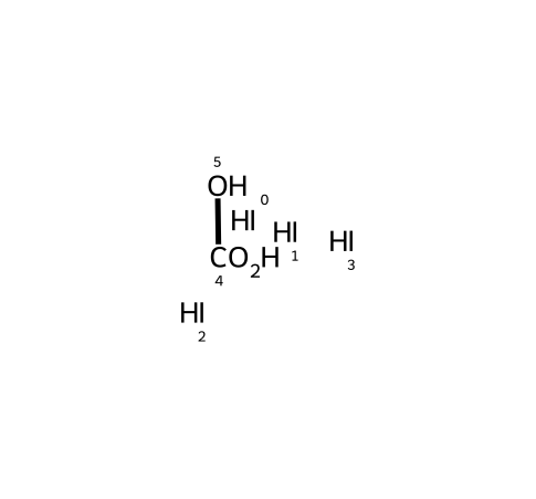 I.I.I.I.O=C(O)O